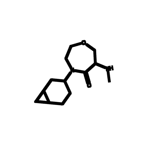 CNC1COCCN(C2CCC3CC3C2)C1=O